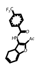 CC(=O)C1=C(NC(=O)c2ccc(C(F)(F)F)cc2)C2CC=CC=C2O1